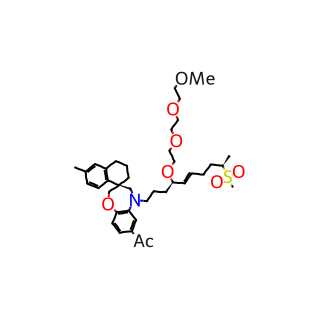 COCCOCCOCCO[C@@H](/C=C/CC[C@@H](C)S(C)(=O)=O)CCCN1C[C@@]2(CCCc3cc(C)ccc32)COc2ccc(C(C)=O)cc21